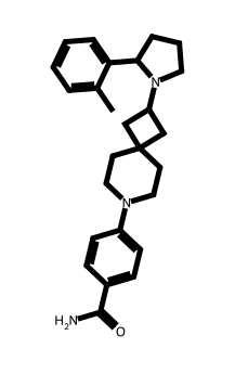 Cc1ccccc1C1CCCN1C1CC2(CCN(c3ccc(C(N)=O)cc3)CC2)C1